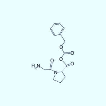 NCC(=O)N1CCC[C@H]1C(=O)OC(=O)OCc1ccccc1